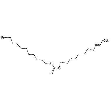 CCCCCCCCC=CCCCCCCCCOC(=O)OCCCCCCCCCCC(C)C